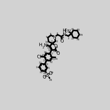 CCC1(CNC(=O)CN2CCCC3(C2)OC(=O)C(c2cc(Cl)c(-c4cccc(S(C)(=O)=O)c4)cc2C)=C3N)CCCCC1